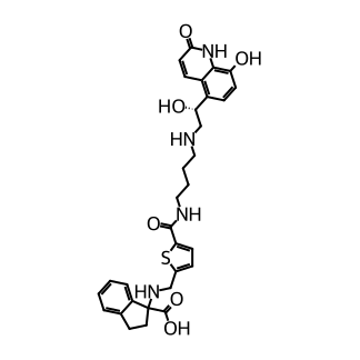 O=C(NCCCCNC[C@H](O)c1ccc(O)c2[nH]c(=O)ccc12)c1ccc(CNC2(C(=O)O)CCc3ccccc32)s1